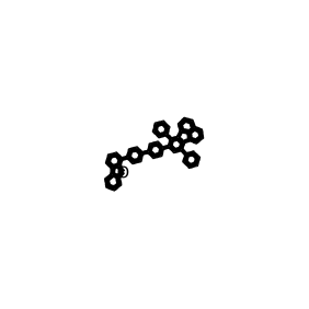 c1ccc(-c2cc(-c3ccc(-c4ccc(-c5cccc6c5oc5ccccc56)cc4)cc3)c(-c3ccccc3)c3c2-c2cccc4cccc-3c24)cc1